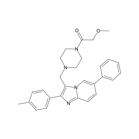 COCC(=O)N1CCN(Cc2c(-c3ccc(C)cc3)nc3ccc(-c4ccccc4)cn23)CC1